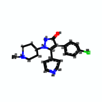 CC(C)N1CCC(N2[N]C(=O)C(c3ccc(Cl)cc3)=C2c2ccncc2)CC1